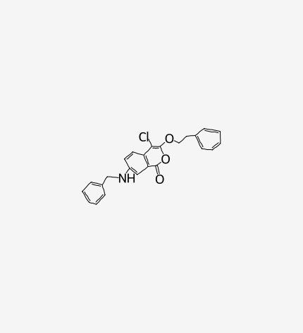 O=c1oc(OCCc2ccccc2)c(Cl)c2ccc(NCc3ccccc3)cc12